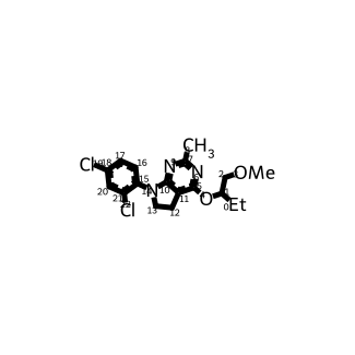 CCC(COC)Oc1nc(C)nc2c1CCN2c1ccc(Cl)cc1Cl